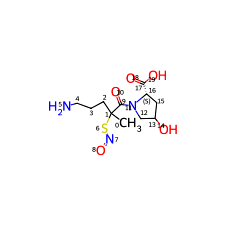 CC(CCCN)(SN=O)C(=O)N1CC(O)C[C@H]1C(=O)O